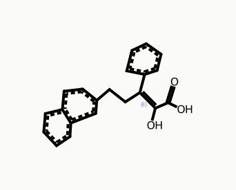 O=C(O)/C(O)=C(/CCc1ccc2ccccc2c1)c1ccccc1